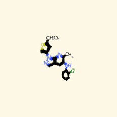 Cc1nc2c(cnn2-c2csc(C=O)c2)cc1Nc1ccccc1Cl